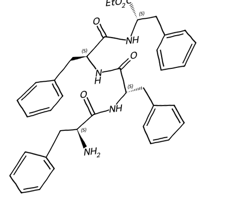 CCOC(=O)[C@H](Cc1ccccc1)NC(=O)[C@H](Cc1ccccc1)NC(=O)[C@H](Cc1ccccc1)NC(=O)[C@@H](N)Cc1ccccc1